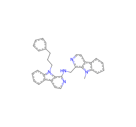 Cn1c2ccccc2c2ccnc(CNc3nccc4c5ccccc5n(CCCc5ccccc5)c34)c21